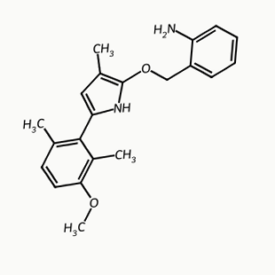 COc1ccc(C)c(-c2cc(C)c(OCc3ccccc3N)[nH]2)c1C